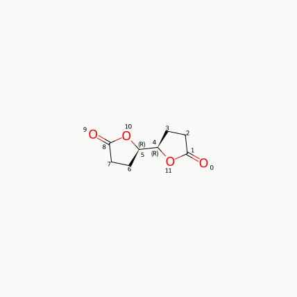 O=C1CC[C@H]([C@H]2CCC(=O)O2)O1